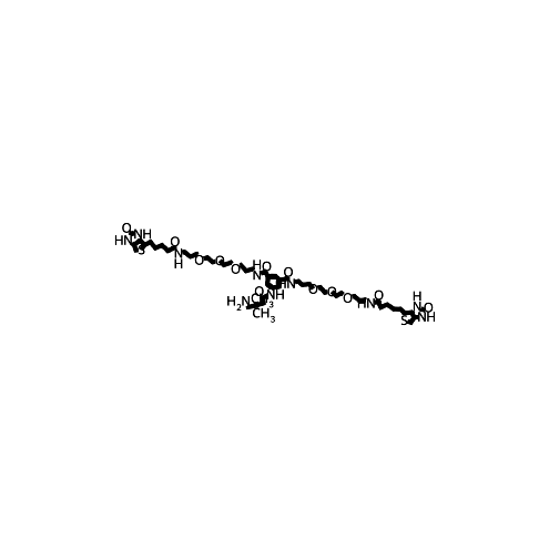 CC(C)(CN)CC(=O)Nc1cc(C(=O)NCCCOCCOCCOCCCNC(=O)CCCCC2SCC3NC(=O)NC32)cc(C(=O)NCCCOCCOCCOCCCNC(=O)CCCCC2SCC3NC(=O)NC32)c1